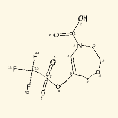 O=C(O)N1C=C(OS(=O)(=O)C(F)(F)F)COCC1